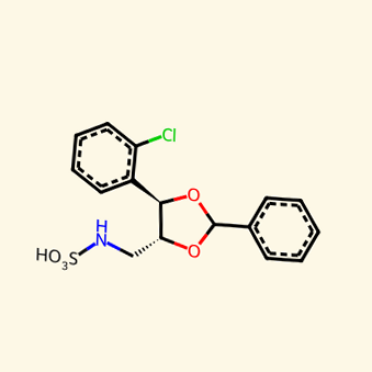 O=S(=O)(O)NC[C@H]1OC(c2ccccc2)O[C@@H]1c1ccccc1Cl